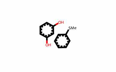 CSc1ccccc1.Oc1cccc(O)c1